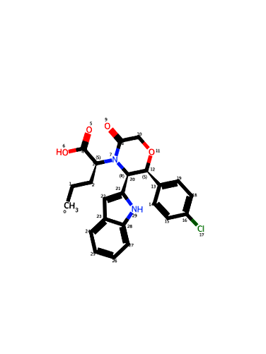 CCC[C@@H](C(=O)O)N1C(=O)CO[C@@H](c2ccc(Cl)cc2)[C@H]1c1cc2ccccc2[nH]1